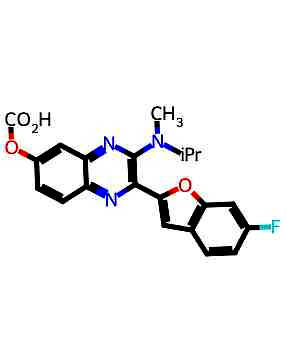 CC(C)N(C)c1nc2cc(OC(=O)O)ccc2nc1-c1cc2ccc(F)cc2o1